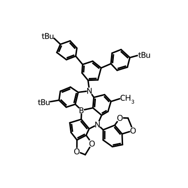 Cc1cc2c3c(c1)N(c1cccc4c1OCO4)c1c(ccc4c1OCO4)B3c1cc(C(C)(C)C)ccc1N2c1cc(-c2ccc(C(C)(C)C)cc2)cc(-c2ccc(C(C)(C)C)cc2)c1